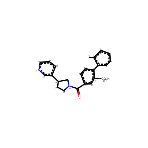 Cc1ccccc1-c1ccc(C(=O)N2CCC(c3cccnc3)C2)cc1C(=O)O